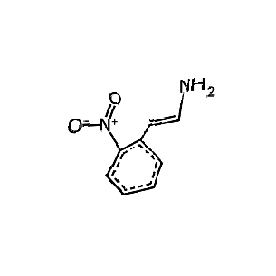 N/C=C/c1ccccc1[N+](=O)[O-]